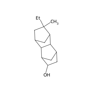 CCC1(C)CC2CC1C1C3CC(O)C(C3)C21